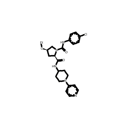 CCO[C@@H]1C[C@H](C(=O)NC2CCN(c3ccncc3)CC2)N(C(=O)Nc2ccc(Cl)cc2)C1